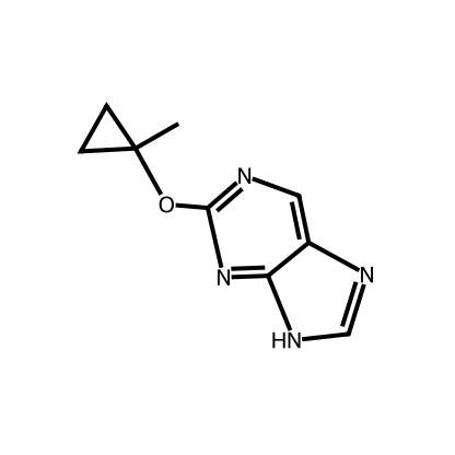 CC1(Oc2ncc3nc[nH]c3n2)CC1